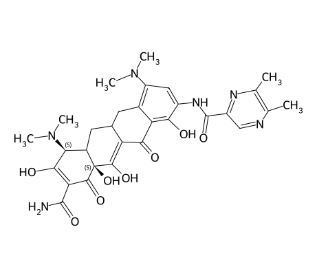 Cc1ncc(C(=O)Nc2cc(N(C)C)c3c(c2O)C(=O)C2=C(O)[C@]4(O)C(=O)C(C(N)=O)=C(O)[C@@H](N(C)C)C4CC2C3)nc1C